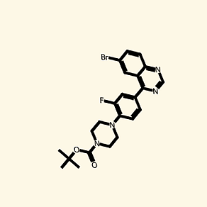 CC(C)(C)OC(=O)N1CCN(c2ccc(-c3ncnc4ccc(Br)cc34)cc2F)CC1